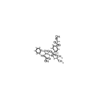 CC(C)CN(C[C@@H](O)[C@H](Cc1ccccc1)NC(=O)O)S(=O)(=O)c1ccc(S(=O)(=O)/C=N/O)cc1